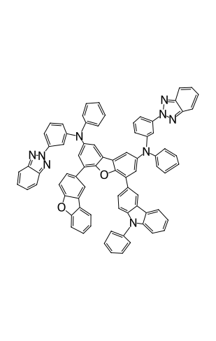 c1ccc(N(c2cccc(-n3nc4ccccc4n3)c2)c2cc(-c3ccc4oc5ccccc5c4c3)c3oc4c(-c5ccc6c(c5)c5ccccc5n6-c5ccccc5)cc(N(c5ccccc5)c5cccc(-n6nc7ccccc7n6)c5)cc4c3c2)cc1